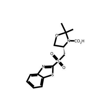 CC1(C)OC[C@@H](CS(=O)(=O)c2nc3ccccc3s2)N1C(=O)O